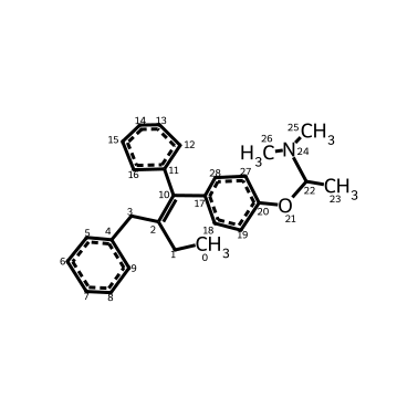 CCC(Cc1ccccc1)=C(c1ccccc1)c1ccc(OC(C)N(C)C)cc1